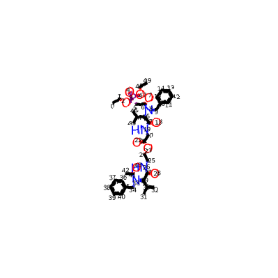 CCOP(=O)(CC(=O)N(Cc1ccccc1)C(C(=O)NCC(=O)OCCNC(=O)C(C(C)C)N(Cc1ccccc1)C(C)=O)C(C)C)OCC